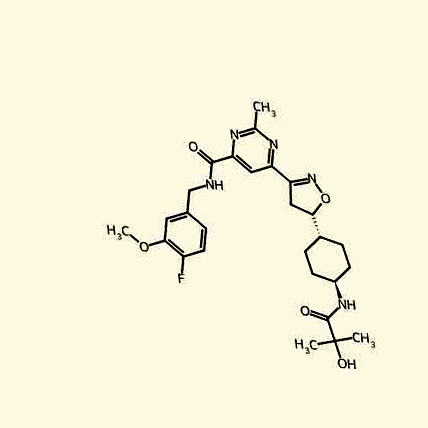 COc1cc(CNC(=O)c2cc(C3=NOC([C@H]4CC[C@H](NC(=O)C(C)(C)O)CC4)C3)nc(C)n2)ccc1F